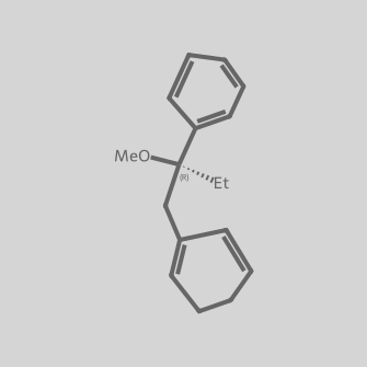 CC[C@](CC1=CCCC=C1)(OC)c1ccccc1